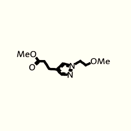 COCCn1cc(CCC(=O)OC)cn1